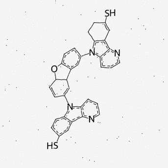 SC1=Cc2c(n(-c3ccc4c(c3)C3C=C(n5c6ccc(S)cc6c6ncccc65)C=CC3O4)c3cccnc23)CC1